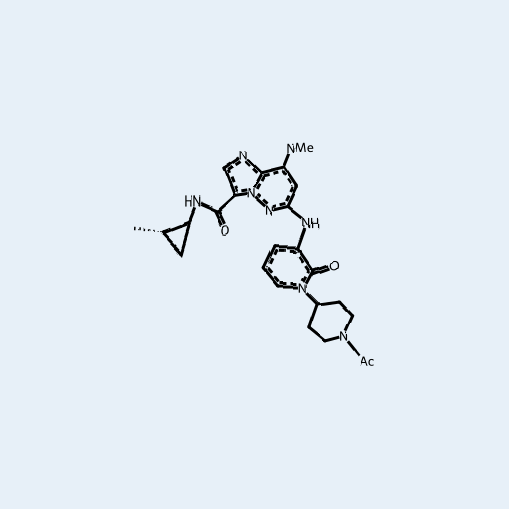 CNc1cc(Nc2cccn(C3CCN(C(C)=O)CC3)c2=O)nn2c(C(=O)NC3C[C@@H]3C)cnc12